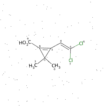 CC1(C)C(C=C(Cl)Cl)=C1C(=O)O